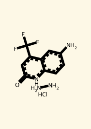 Cl.NN.Nc1ccc2[nH]c(=O)cc(C(F)(F)F)c2c1